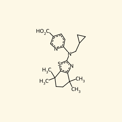 CC1(C)CCC(C)(C)c2sc(N(CC3CC3)c3ccc(C(=O)O)cn3)nc21